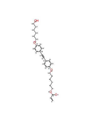 C=CC(=O)OCCCCCCOc1ccc(C#Cc2ccc(OCCCCCCO)cc2)cc1